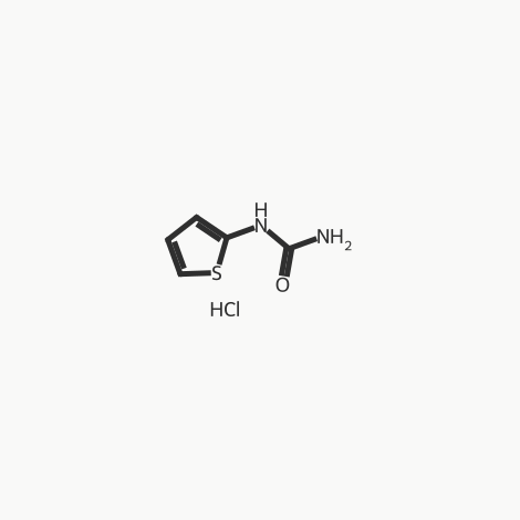 Cl.NC(=O)Nc1cccs1